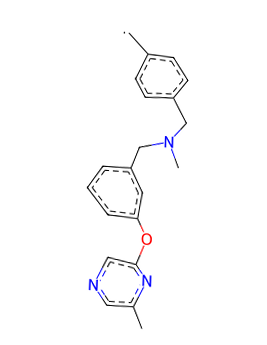 [CH2]c1ccc(CN(C)Cc2cccc(Oc3cncc(C)n3)c2)cc1